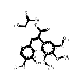 COc1ccc(/C=C(/C(=O)O)c2cc(OC)c(OC)c(OC)c2)cc1O.NCC(=O)O